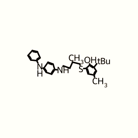 Cc1cc(SCC(C)CCNc2ccc(Nc3ccccc3)cc2)c(O)c(C(C)(C)C)c1